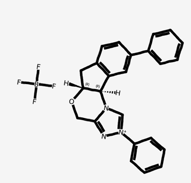 F[B-](F)(F)F.c1ccc(-c2ccc3c(c2)[C@@H]2[C@@H](C3)OCc3n[n+](-c4ccccc4)cn32)cc1